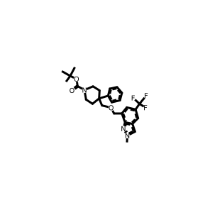 Cn1cc2cc(C(F)(F)F)cc(COCC3(c4ccccc4)CCN(C(=O)OC(C)(C)C)CC3)c2n1